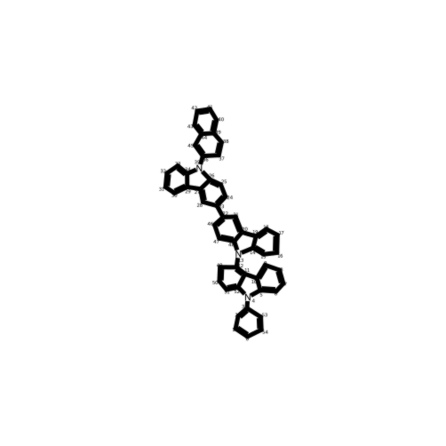 c1ccc(-n2c3ccccc3c3c(-n4c5ccccc5c5cc(-c6ccc7c(c6)c6ccccc6n7-c6ccc7ccccc7c6)ccc54)cccc32)cc1